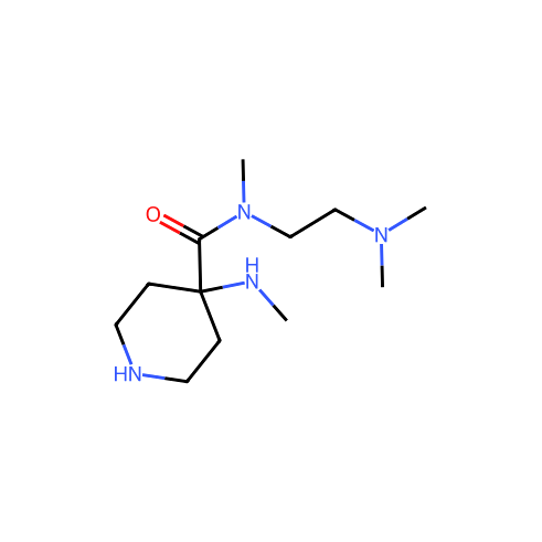 CNC1(C(=O)N(C)CCN(C)C)CCNCC1